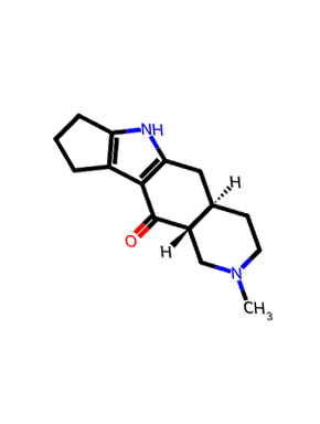 CN1CC[C@@H]2Cc3[nH]c4c(c3C(=O)[C@H]2C1)CCC4